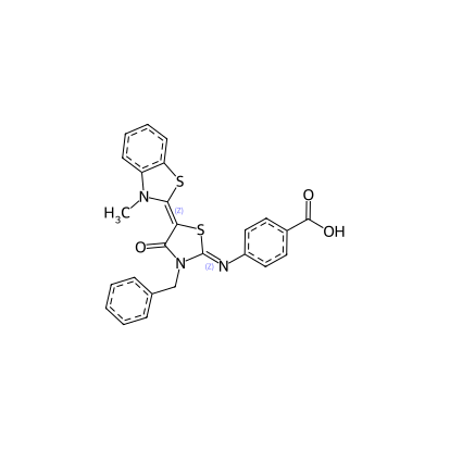 CN1/C(=C2/S/C(=N\c3ccc(C(=O)O)cc3)N(Cc3ccccc3)C2=O)Sc2ccccc21